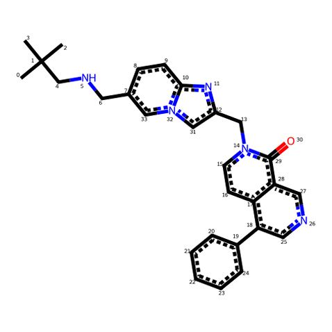 CC(C)(C)CNCc1ccc2nc(Cn3ccc4c(-c5ccccc5)cncc4c3=O)cn2c1